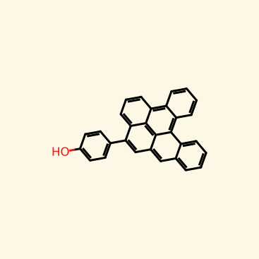 Oc1ccc(-c2cc3cc4ccccc4c4c5ccccc5c5cccc2c5c34)cc1